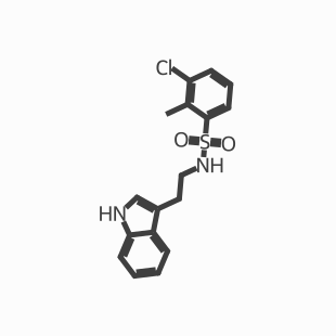 Cc1c(Cl)cccc1S(=O)(=O)NCCc1c[nH]c2ccccc12